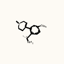 COc1ccc([C@@H](C)N)c(C2=CCN(C)CC2)c1